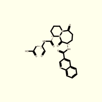 O=C[C@H](CC(=O)O)NC(=O)[C@@H]1CCCN2C(=O)CC[C@H](NC(=O)c3cnc4ccccc4c3)C(=O)N12